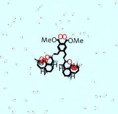 COC(=O)c1cc(CC[C@H]2O[C@@H]3O[C@]4(C)CC[C@H]5[C@H](C)CC[C@@H]([C@H]2C)[C@@]35OO4)c(CC[C@H]2O[C@@H]3O[C@]4(C)CC[C@H]5[C@H](C)CC[C@@H]([C@H]2C)[C@@]35OO4)cc1C(=O)OC